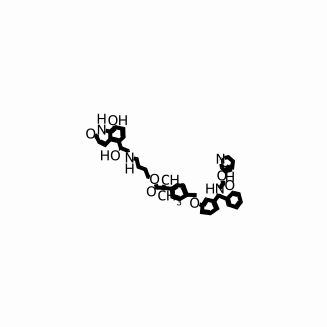 CC(C)(C(=O)OCCCCNC[C@H](O)c1ccc(O)c2[nH]c(=O)ccc12)c1ccc(COc2cccc(C(NC(=O)O[C@H]3CN4CCC3CC4)c3ccccc3)c2)cc1